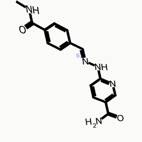 CNC(=O)c1ccc(/C=N/Nc2ccc(C(N)=O)cn2)cc1